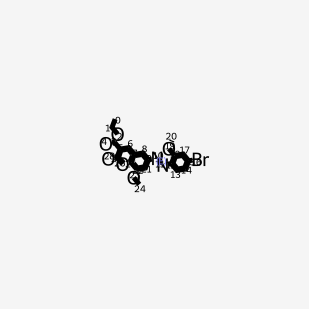 CCOC(=O)c1cc2cc(/N=N/c3ccc(Br)cc3OC)cc(OC)c2oc1=O